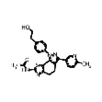 CC(=O)Nc1nc2c(s1)-c1c(c(-c3ccc(C)nc3)nn1-c1ccc(CCO)cc1)CC2